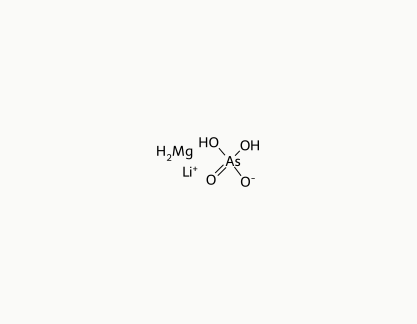 O=[As]([O-])(O)O.[Li+].[MgH2]